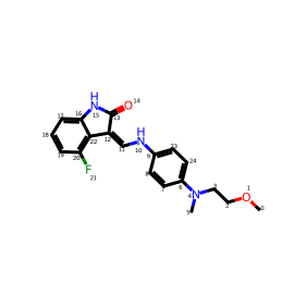 COCCN(C)c1ccc(NC=C2C(=O)Nc3cccc(F)c32)cc1